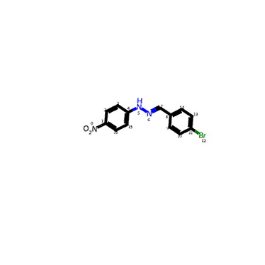 O=[N+]([O-])c1ccc(N/N=C/c2ccc(Br)cc2)cc1